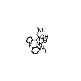 CCn1c(=O)n(C(c2ccccc2)C(O)CNC)c2c(F)cccc21.Cl